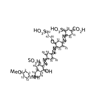 COc1ccc(Nc2ccc3c(O)c(N=Nc4cc(C)c(N=Nc5cc(C)c(N=Nc6ccc(C(=O)O)cc6S(=O)(=O)O)cc5OCCCS(=O)(=O)O)cc4C)c(S(=O)(=O)O)cc3c2)cc1